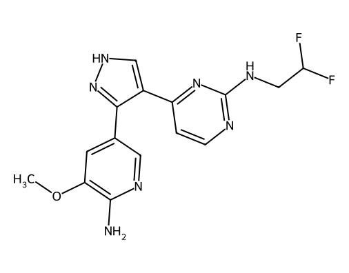 COc1cc(-c2n[nH]cc2-c2ccnc(NCC(F)F)n2)cnc1N